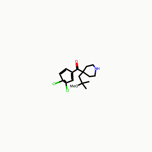 COC(C)(C)CC1(C(=O)c2ccc(Cl)c(Cl)c2)CCNCC1